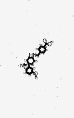 COC(=O)c1ccc(CN[C@H]2CC[C@@](C#N)(c3cccc(OC)c3)CC2)cc1